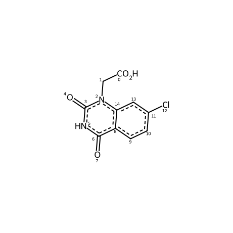 O=C(O)Cn1c(=O)[nH]c(=O)c2ccc(Cl)cc21